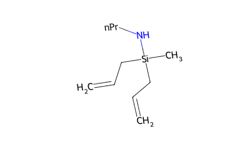 C=CC[Si](C)(CC=C)NCCC